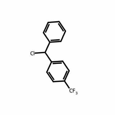 FC(F)(F)c1ccc(C(Cl)c2ccccc2)cc1